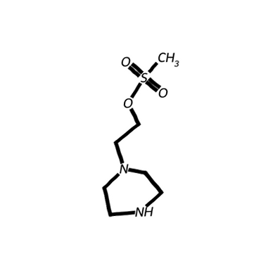 CS(=O)(=O)OCCN1CCNCC1